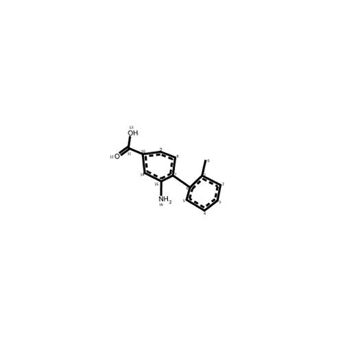 Cc1ccccc1-c1ccc(C(=O)O)cc1N